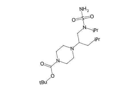 CC(C)CC(CN(C(C)C)S(N)(=O)=O)N1CCN(C(=O)OC(C)(C)C)CC1